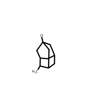 CC1C2CC3CC1CC(Cl)(C3)C2